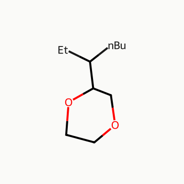 CCCCC(CC)C1COCCO1